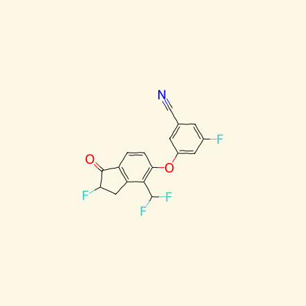 N#Cc1cc(F)cc(Oc2ccc3c(c2C(F)F)CC(F)C3=O)c1